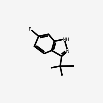 CC(C)(C)c1n[nH]c2cc(F)ccc12